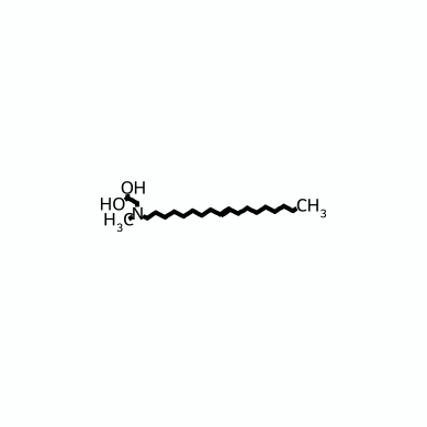 CCCCCCCCC=CCCCCCCCCN(C)CC(O)O